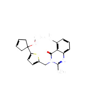 CCCCc1nc2cccc(C)c2c(=O)n1Cc1ccc(C2(OC=O)CC=CC2)s1